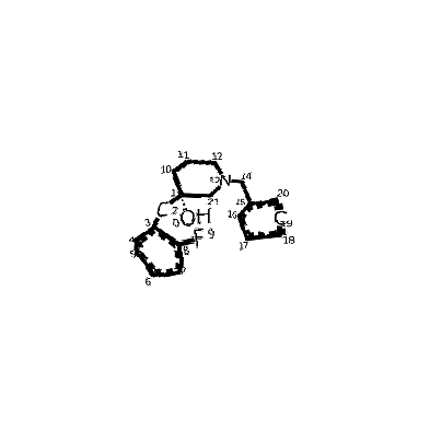 O[C@]1(Cc2ccccc2F)CCCN(Cc2ccccc2)C1